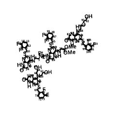 CCN(CC)CCNc1nc(SCc2cccc(F)c2F)nc2[nH]c(=O)cnc12.COC(CNc1nc(SCc2cccc(F)c2F)nc2[nH]c(=O)cnc12)OC.O=c1cnc2c(N(CCO)CCO)nc(SCc3cccc(F)c3F)nc2[nH]1.O=c1cnc2c(NCCOCCO)nc(SCc3cccc(F)c3F)nc2[nH]1